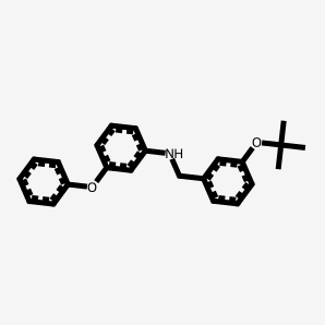 CC(C)(C)Oc1cccc(CNc2cccc(Oc3ccccc3)c2)c1